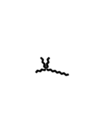 CCCCCCCCCC[PH](CCCCC)(CCCCC)CCCCC